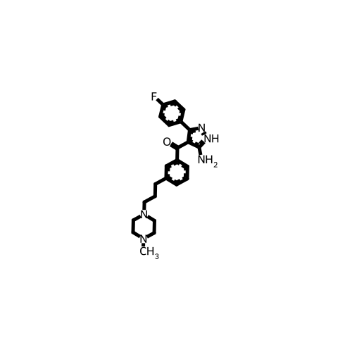 CN1CCN(CCCc2cccc(C(=O)c3c(-c4ccc(F)cc4)n[nH]c3N)c2)CC1